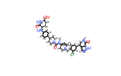 COc1cc(-c2cn(C)c(=O)c3[nH]ncc23)cc(Cl)c1CN1CCC(N(C)C(=O)N2CCC(c3ccc(NC4CCC(O)NC4=O)cc3)CC2)CC1